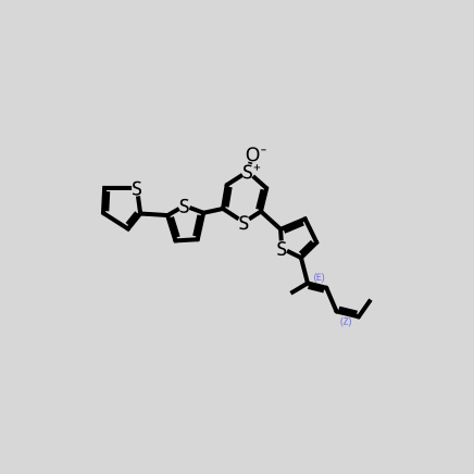 C/C=C\C=C(/C)c1ccc(C2=C[S+]([O-])C=C(c3ccc(-c4cccs4)s3)S2)s1